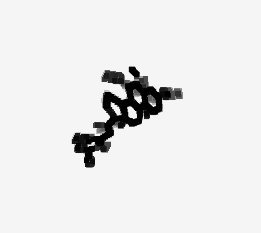 CC[C@H]1[C@@H](O)C2C3CC[C@H]([C@H](C)Cc4nc(=O)o[nH]4)[C@@]3(C)CCC2[C@@]2(C)CC[C@@H](O)C[C@@H]12